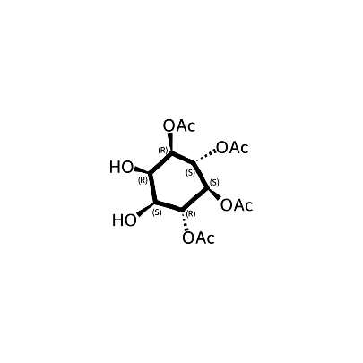 CC(=O)O[C@@H]1[C@@H](OC(C)=O)[C@H](OC(C)=O)[C@@H](O)[C@@H](O)[C@H]1OC(C)=O